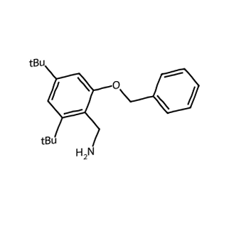 CC(C)(C)c1cc(OCc2ccccc2)c(CN)c(C(C)(C)C)c1